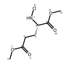 COC(=O)CC[C@H](NCl)C(=O)OC